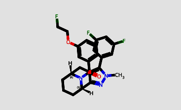 Cn1nc2c(c1-c1cc(F)cc(F)c1)C[C@H]1CCC[C@@H]2N1C(=O)c1cccc(OCCF)c1